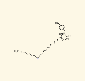 CCCCCCCC/C=C\CCCCCCCCCCCC(=O)N[C@@H](Cc1ccc(O)cc1)C(=O)O